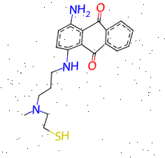 CN(CCS)CCCNc1ccc(N)c2c1C(=O)c1ccccc1C2=O